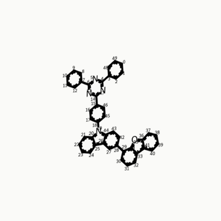 c1ccc(-c2nc(-c3ccccc3)nc(-c3ccc(-n4c5ccccc5c5cc(-c6cccc7c6oc6ccccc67)ccc54)cc3)n2)cc1